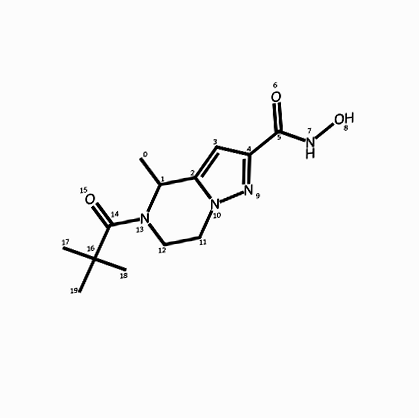 CC1c2cc(C(=O)NO)nn2CCN1C(=O)C(C)(C)C